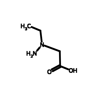 CCN(N)CC(=O)O